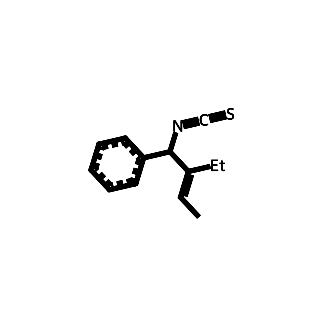 CC=C(CC)C(N=C=S)c1ccccc1